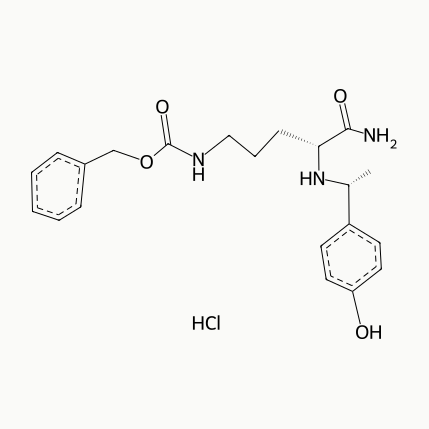 C[C@@H](N[C@H](CCCNC(=O)OCc1ccccc1)C(N)=O)c1ccc(O)cc1.Cl